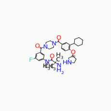 CN(C(=O)C(C)(C)N)c1cc(F)cc(C(=O)N2CCN(C(=O)c3ccc(O[C@H]4CCNC4)c(C4CCCCC4)c3)CC2)c1